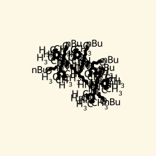 CCCCOCCCN(c1nc(NCCCCC(CCCNc2nc(N(CCCOCCCC)C3CC(C)(C)NC(C)(C)C3)nc(N(CCCOCCCC)C3CC(C)(C)NC(C)(C)C3)n2)CNc2nc(N(CCCOCCCC)C3CC(C)(C)NC(C)(C)C3)nc(N(CCCOCCCC)C3CC(C)(C)NC(C)(C)C3)n2)nc(N(CCCOCCCC)C2CC(C)(C)NC(C)(C)C2)n1)C1CC(C)(C)NC(C)(C)C1